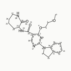 COCCOc1nc(N2CCc3ccccc32)ncc1C(=O)NC1CCCCNC1=O